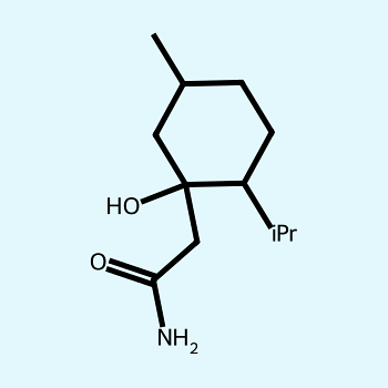 CC1CCC(C(C)C)C(O)(CC(N)=O)C1